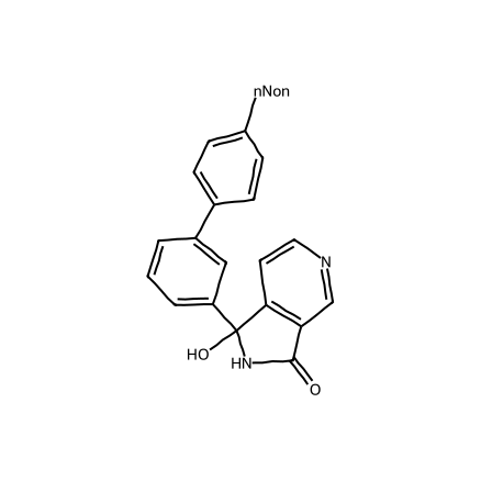 CCCCCCCCCc1ccc(-c2cccc(C3(O)NC(=O)c4cnccc43)c2)cc1